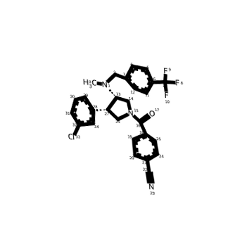 CN(Cc1ccc(C(F)(F)F)cc1)[C@@H]1CN(C(=O)c2ccc(C#N)cc2)C[C@@H]1c1cccc(Cl)c1